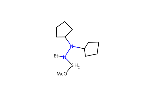 CCN([SiH2]OC)N(C1CCCC1)C1CCCC1